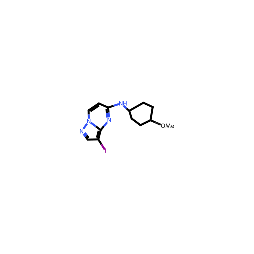 COC1CCC(Nc2ccn3ncc(I)c3n2)CC1